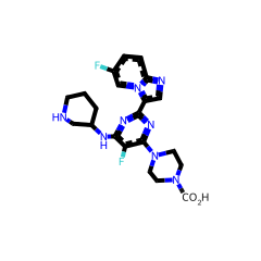 O=C(O)N1CCN(c2nc(-c3cnc4ccc(F)cn34)nc(NC3CCCNC3)c2F)CC1